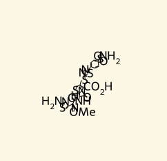 CON=C(C(=O)N[C@@H]1C(=O)N2C(C(=O)O)=C(CSc3nnc(-c4ccc(S(N)(=O)=O)cc4)s3)CS[C@@H]12)c1csc(N)n1